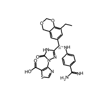 CCc1cc([C@H](Nc2ccc(C(=N)N)cc2)c2nn(-c3ncsc3C(=O)O)c(=O)[nH]2)cc2c1OCOC2